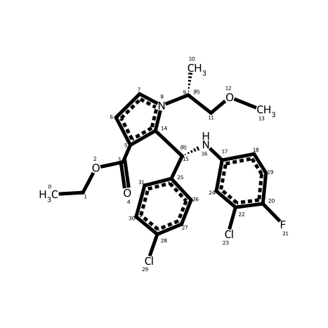 CCOC(=O)c1ccn([C@H](C)COC)c1[C@H](Nc1ccc(F)c(Cl)c1)c1ccc(Cl)cc1